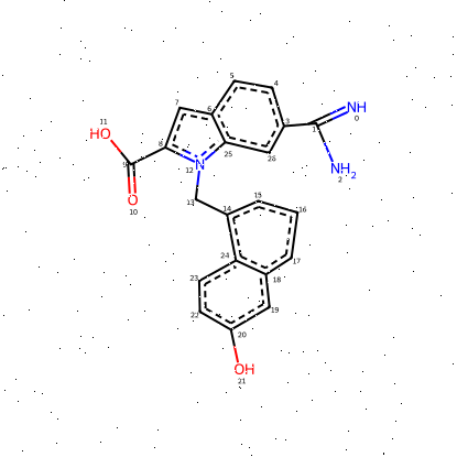 N=C(N)c1ccc2cc(C(=O)O)n(Cc3cccc4cc(O)ccc34)c2c1